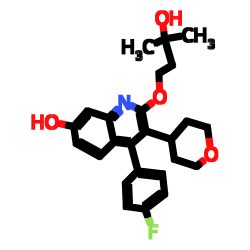 CC(C)(O)CCOc1nc2cc(O)ccc2c(-c2ccc(F)cc2)c1C1CCOCC1